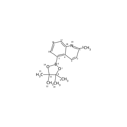 Cc1ccc2c(B3OC(C)(C)C(C)(C)O3)cccc2n1